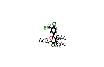 CC(=O)OC[C@H]1O[C@@H](c2ccc(Cl)c(CBr)c2)[C@H](OC(C)=O)[C@@H](OC(C)=O)[C@@H]1OC(C)=O